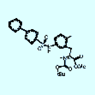 COC(=O)[C@H](Cc1cc(NS(=O)(=O)c2ccc(-c3ccccc3)cc2)ccc1C)NC(=O)OC(C)(C)C